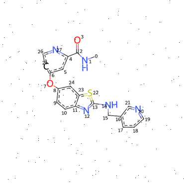 CNC(=O)c1cc(Oc2ccc3nc(NCc4cccnc4)sc3c2)ccn1